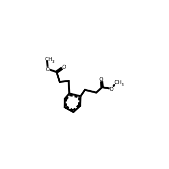 COC(=O)CCc1ccccc1CCC(=O)OC